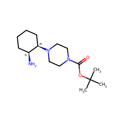 CC(C)(C)OC(=O)N1CCN([C@@H]2CCCC[C@@H]2N)CC1